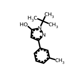 Cc1cccc(-c2cc(O)n(C(C)(C)C)n2)c1